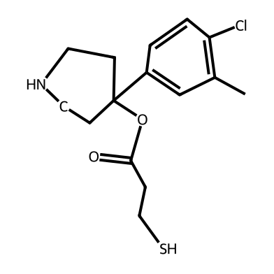 Cc1cc(C2(OC(=O)CCS)CCNCC2)ccc1Cl